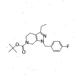 CCc1nn(Cc2ccc(F)cc2)c2c1CCN(C(=O)OC(C)(C)C)C2